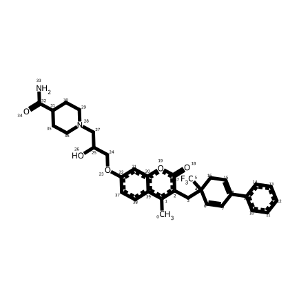 Cc1c(CC2(C(F)(F)F)C=CC(c3ccccc3)=CC2)c(=O)oc2cc(OCC(O)CN3CCC(C(N)=O)CC3)ccc12